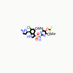 COc1nc(NS(=O)(=O)c2c[nH]c3c(-c4ccn(C)n4)c(Cl)ccc23)nc(OC)c1OC(F)F